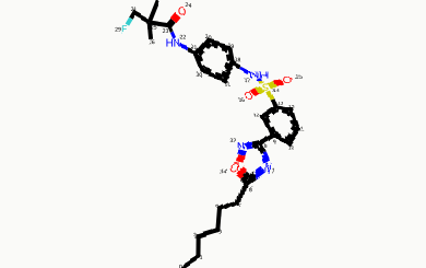 CCCCCCc1nc(-c2cccc(S(=O)(=O)Nc3ccc(NC(=O)C(C)(C)CF)cc3)c2)no1